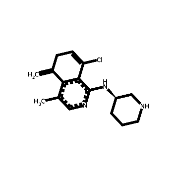 C=C1CC=C(Cl)c2c(N[C@@H]3CCCNC3)ncc(C)c21